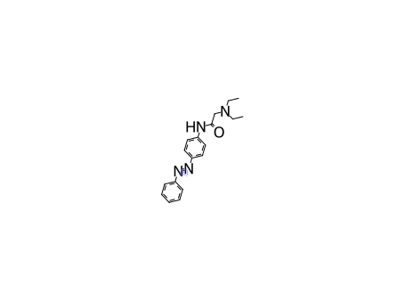 CCN(CC)CC(=O)Nc1ccc(/N=N/c2ccccc2)cc1